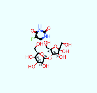 O=c1[nH]cc(F)c(=O)[nH]1.OC[C@H]1O[C@@H](O[C@@H]2[C@@H](CO)O[C@](O)(CO)[C@H]2O)[C@H](O)[C@@H](O)[C@H]1O